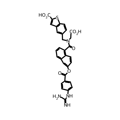 N=C(N)Nc1ccc(C(=O)Oc2ccc3c(C(=O)N(CC(=O)O)Cc4ccc5sc(C(=O)O)cc5c4)cccc3c2)cc1